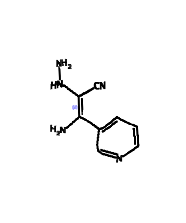 N#C/C(NN)=C(/N)c1cccnc1